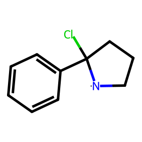 ClC1(c2ccccc2)CCC[N]1